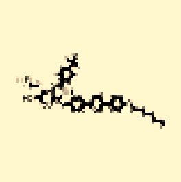 CCCCCCCOc1ccc(-c2ccc(-c3ccc(C[C@H](NC(=O)c4ccc(C(C)(C)C)cc4)C(=O)N[C@@H](CCN)C(=O)O)cc3)nc2)cc1